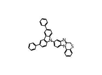 c1ccc(-c2ccc3c(c2)c2cc(-c4ccccc4)ccc2n3-c2ccc3c(c2)nc2n3-c3ccccc3SC2)cc1